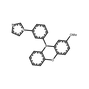 COc1ccc2c(c1)B(c1cccc(-n3ccnc3)c1)c1ccccc1O2